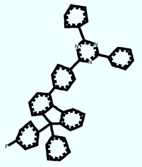 Fc1ccc(C2(c3ccccc3)c3ccccc3-c3c(-c4ccc(-c5nc(-c6ccccc6)nc(-c6ccccc6)n5)cc4)cccc32)cc1